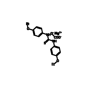 CCOc1ccc(NC(=S)Nc2ccc(OCC)cc2)cc1.O=C([O-])[O-].[Mg+2]